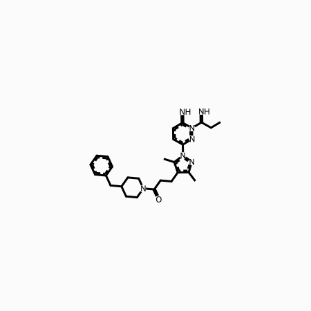 CCC(=N)n1nc(-n2nc(C)c(CCC(=O)N3CCC(Cc4ccccc4)CC3)c2C)ccc1=N